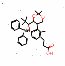 Cc1c(CCC(=O)O)cccc1C1COC(C)(C)OC1C(O[SiH](c1ccccc1)c1ccccc1)C(C)(C)C